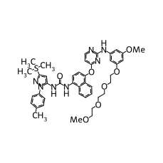 COCCOCCOCCOc1cc(Nc2nccc(Oc3ccc(NC(=O)Nc4cc(S(C)(C)C)nn4-c4ccc(C)cc4)c4ccccc34)n2)cc(OC)c1